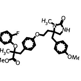 COC(=O)C(C)(Cc1ccc(OCCC2(Cc3ccc(OC)cc3)CNC(=O)N2C)cc1)Oc1ccccc1F